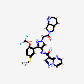 CSc1ccc(OC(F)F)c(-c2nn(CC(=O)N3CC4CCCNC4C3)cc2NC(=O)c2cnn3cccnc23)c1